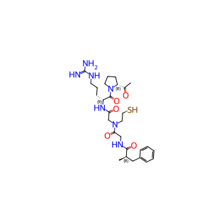 CC(=O)[C@H]1CCCN1C(=O)[C@@H](CCCNC(=N)N)NC(=O)CN(CCS)C(=O)CNC(=O)[C@H](C)Cc1ccccc1